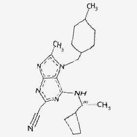 Cc1nc2nc(C#N)nc(N[C@H](C)C3CCC3)c2n1CC1CCC(C)CC1